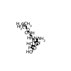 C[Si](C)(C)CCOC(=O)NCCNc1nc(N)c2ncn([C@@H]3O[C@H](CO)C(F)[C@H]3O)c2n1